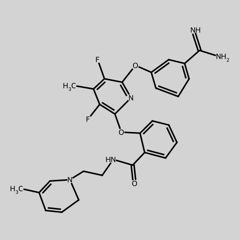 CC1=CN(CCNC(=O)c2ccccc2Oc2nc(Oc3cccc(C(=N)N)c3)c(F)c(C)c2F)CC=C1